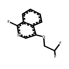 Fc1ncc(OCC(F)F)c2ccccc12